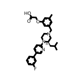 Cc1cc(CN2CCN(c3ccc(-c4cccc(F)c4)cn3)[C@H](CC(C)C)C2)cc(OCC(=O)O)c1